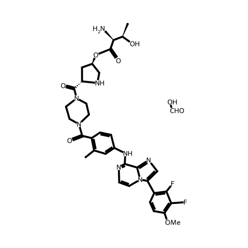 COc1ccc(-c2cnc3c(Nc4ccc(C(=O)N5CCN(C(=O)[C@@H]6C[C@@H](OC(=O)[C@@H](N)[C@@H](C)O)CN6)CC5)c(C)c4)nccn23)c(F)c1F.O=CO